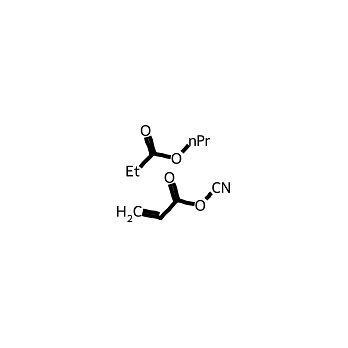 C=CC(=O)OC#N.CCCOC(=O)CC